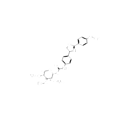 CCO[C@@H]1[C@@H](OC)[C@H](C)O[C@@H](OC(=O)Nc2ccc(C3COC(c4ccc(OC(F)(F)F)cc4)=N3)cc2)[C@@H]1OC